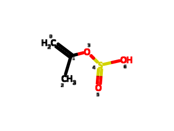 C=C(C)OS(=O)O